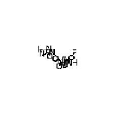 O=C(Nc1ccc(F)cc1)C1(C(=O)Nc2ccc(Oc3ncnc4cc(I)ncc34)cc2)CC1